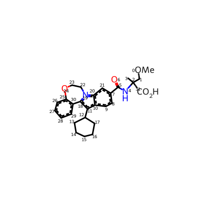 COCC(C)(NC(=O)c1ccc2c(C3CCCCC3)c3n(c2c1)CCOc1ccccc1-3)C(=O)O